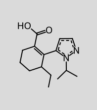 CCC1CCCC(C(=O)O)=C1c1ccnn1C(C)C